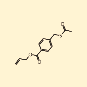 C=CCOC(=O)c1ccc(CSC(C)=O)cc1